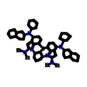 CCN(CC)c1cc2c(N(c3ccccc3)c3ccc4ccccc4c3)ccc3c2n1-c1cccc2c1B3c1ccc(N(c3ccccc3)c3ccc4ccccc4c3)c3cc(N(CC)CC)n-2c13